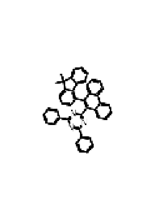 CC1(C)c2ccccc2-c2c(-c3c(-c4nc(-c5ccccc5)nc(-c5ccccc5)n4)c4ccccc4c4ccccc34)cccc21